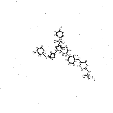 Cc1ccc(S(=O)(=O)n2cc(-c3cnn(Cc4cccc(F)c4)c3)c3cc(-c4cccc(CC5CCN(CC(N)=O)CC5)c4)cnc32)cc1